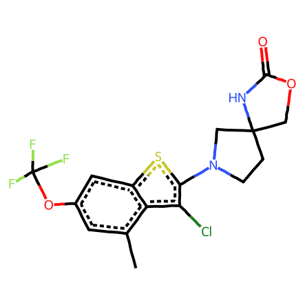 Cc1cc(OC(F)(F)F)cc2sc(N3CCC4(COC(=O)N4)C3)c(Cl)c12